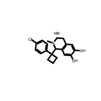 Br.CN1CCc2cc(O)c(O)cc2C1C1(c2ccc(Cl)cc2)CCC1